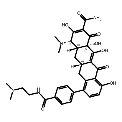 CN(C)CCNC(=O)c1ccc(-c2ccc(O)c3c2C[C@@H]2C[C@@H]4[C@H](N(C)C)C(O)=C(C(N)=O)C(=O)[C@@]4(O)C(O)=C2C3=O)cc1